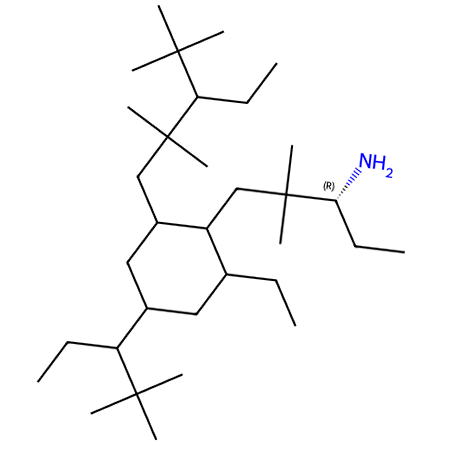 CCC1CC(C(CC)C(C)(C)C)CC(CC(C)(C)C(CC)C(C)(C)C)C1CC(C)(C)[C@H](N)CC